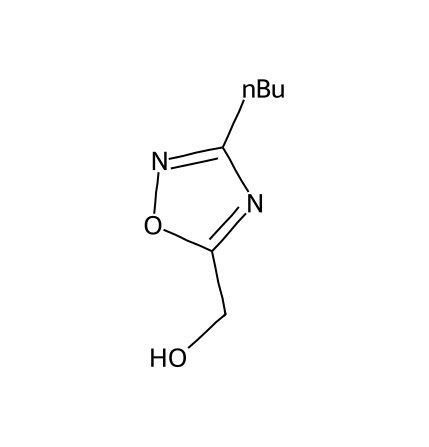 CCCCc1noc(CO)n1